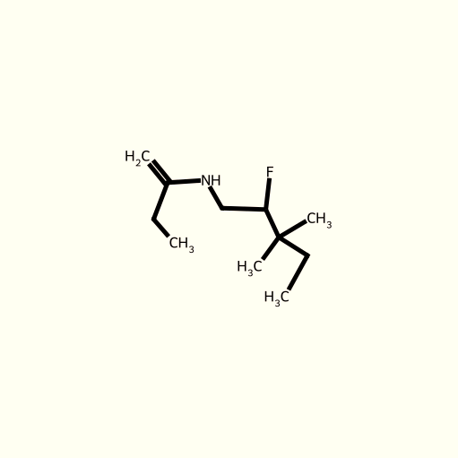 C=C(CC)NCC(F)C(C)(C)CC